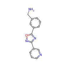 NCc1cccc(-c2nc(-c3cccnc3)no2)c1